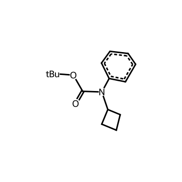 CC(C)(C)OC(=O)N(c1ccccc1)C1CCC1